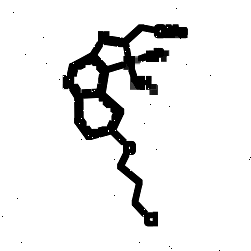 CCC[N+]1(N)C(COC)=Nc2cnc3ccc(OCCCCl)cc3c21